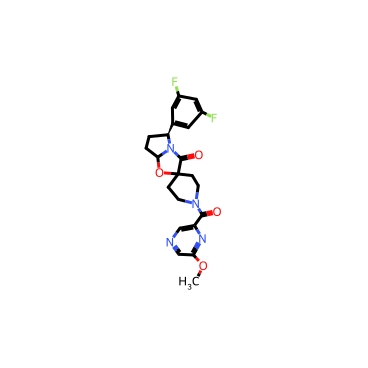 COc1cncc(C(=O)N2CCC3(CC2)OC2CC[C@@H](c4cc(F)cc(F)c4)N2C3=O)n1